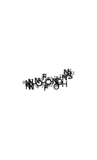 Cn1nnc(-c2ccc(-c3c(F)cc(N4C[C@H](CNc5nccs5)OC4=O)cc3F)cn2)n1